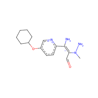 CN(N)/C(C=O)=C(\N)c1ccc(OC2CCCCC2)cn1